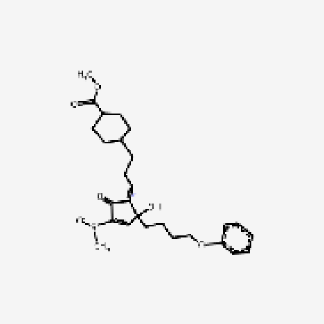 COC(=O)C1CCC(CC/C=C2\C(=O)C([S+](C)[O-])=CC2(O)CCCCOc2ccccc2)CC1